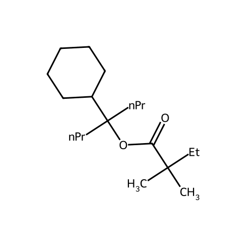 CCCC(CCC)(OC(=O)C(C)(C)CC)C1CCCCC1